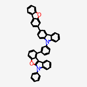 c1ccc(-n2c3ccccc3c3c4c(-c5cccc(-n6c7ccccc7c7cc(-c8ccc9c(c8)oc8ccccc89)ccc76)c5)cccc4oc32)cc1